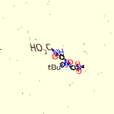 CC(C)(C)C1CCC(N(Cc2ccc(C(=O)NCCC(=O)O)cc2)C(=O)Nc2ccc3c(c2)C(=O)N(C2CC2)C3=O)CC1